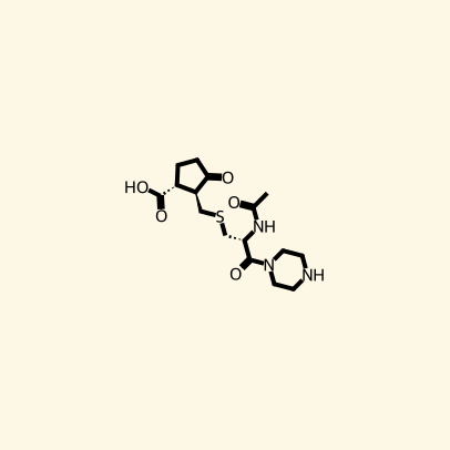 CC(=O)N[C@@H](CSC[C@@H]1C(=O)CC[C@H]1C(=O)O)C(=O)N1CCNCC1